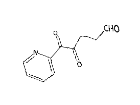 O=CCCC(=O)C(=O)c1ccccn1